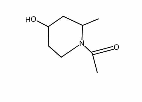 CC(=O)N1CCC(O)CC1C